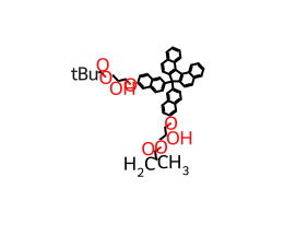 C=C(C)C(=O)OCC(O)COc1ccc2cc(C3(c4ccc5cc(OCC(O)COC(=O)C(C)(C)C)ccc5c4)c4ccc5ccccc5c4-c4c3ccc3ccccc43)ccc2c1